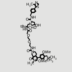 COc1cc(-c2cn(C)c(=O)c3c2CCN(C(=O)NCCOCCOCC(=O)NC(C=O)(CN2C[C@H](O)C[C@H]2C(=O)NCc2ccc(-c4scnc4C)cc2)C(C)(C)C)C3)cc(OC)c1CN(C)C